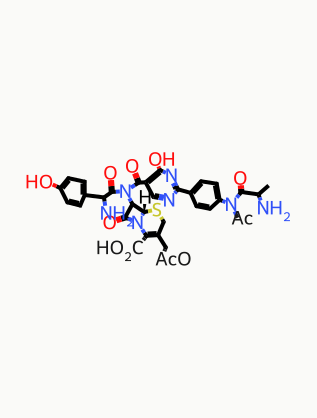 CC(=O)OCC1=C(C(=O)O)N2C(=O)C(N(C(=O)c3cnc(-c4ccc(N(C(C)=O)C(=O)C(C)N)cc4)nc3O)C(=O)C(N)c3ccc(O)cc3)[C@@H]2SC1